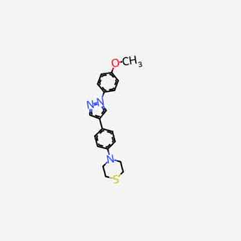 COc1ccc(-n2cc(-c3ccc(N4CCSCC4)cc3)cn2)cc1